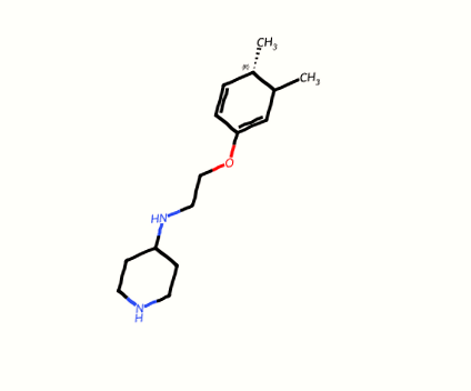 CC1C=C(OCCNC2CCNCC2)C=C[C@@H]1C